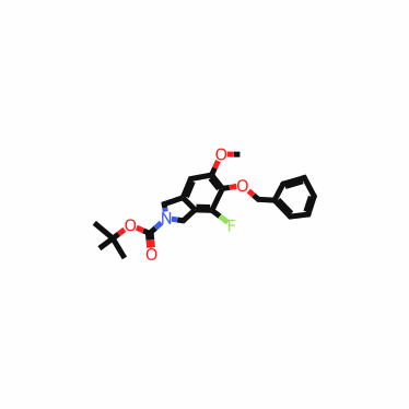 COc1cc2c(c(F)c1OCc1ccccc1)CN(C(=O)OC(C)(C)C)C2